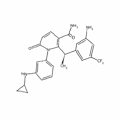 C[C@H](c1cc(N)cc(C(F)(F)F)c1)c1c(C(N)=O)ccc(=O)n1-c1cccc(NC2CC2)c1